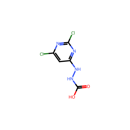 O=C(O)NNc1cc(Cl)nc(Cl)n1